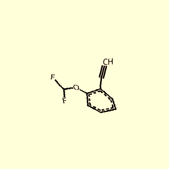 C#Cc1ccccc1OC(F)F